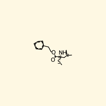 CS[C@](N)(CC(C)C)C(=O)OCCc1ccccc1